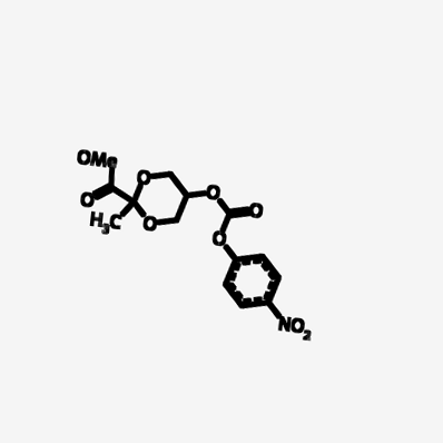 COC(=O)C1(C)OCC(OC(=O)Oc2ccc([N+](=O)[O-])cc2)CO1